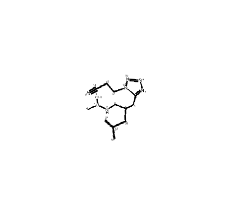 CB(O)NCC(Cc1nnnn1CCC#N)CC(C)C